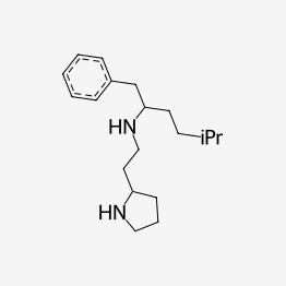 CC(C)CCC(Cc1ccccc1)NCCC1CCCN1